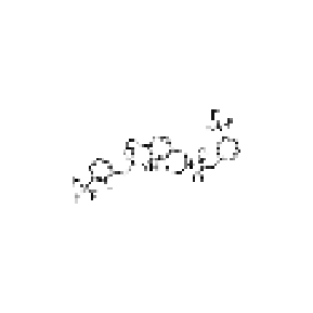 O=C(Cc1cccc(C(F)(F)F)c1F)Nc1c(Cl)ccc2c1CCN(S(=O)(=O)Cc1cccc(C(F)(F)F)c1)C2